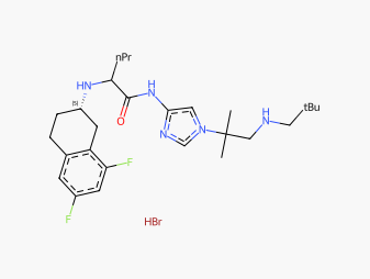 Br.CCCC(N[C@H]1CCc2cc(F)cc(F)c2C1)C(=O)Nc1cn(C(C)(C)CNCC(C)(C)C)cn1